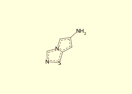 Nc1cc2sncn2c1